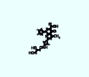 Cc1cc(N2CC(NOCC(O)CO)C2)nc2c1c(=O)c(C(=O)O)cn2-c1nccs1